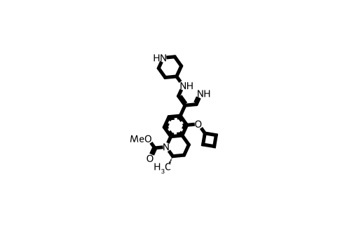 COC(=O)N1c2ccc(/C(C=N)=C/NC3CCNCC3)c(OC3CCC3)c2CC[C@@H]1C